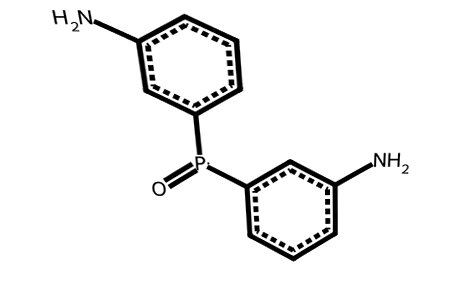 Nc1cccc([P](=O)c2cccc(N)c2)c1